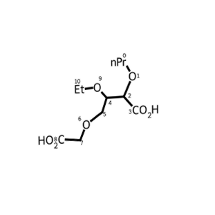 CCCOC(C(=O)O)C(COCC(=O)O)OCC